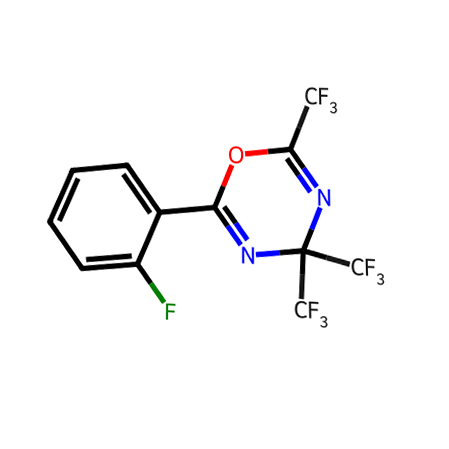 Fc1ccccc1C1=NC(C(F)(F)F)(C(F)(F)F)N=C(C(F)(F)F)O1